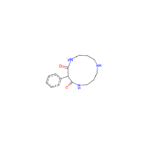 O=C1NCCCNCCCNC(=O)C1c1ccccc1